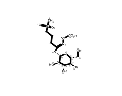 CS(=O)(=O)CCCC(=NOS(=O)(=O)O)S[C@@H]1O[C@H](CO)[C@@H](O)[C@H](O)[C@H]1O